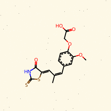 COc1cc(C=C(C)C=C2SC(=S)NC2=O)ccc1OCC(=O)O